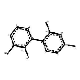 Cc1ccc(-c2cc[c]c(C)c2C)c(C)c1